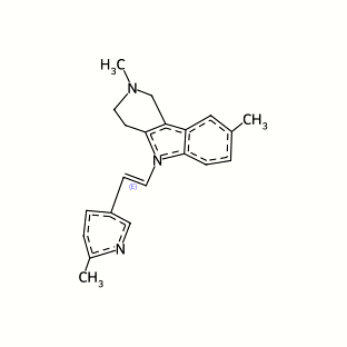 Cc1ccc2c(c1)c1c(n2/C=C/c2ccc(C)nc2)CCN(C)C1